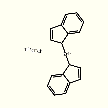 C1=C[CH]([Zr+2][CH]2C=Cc3ccccc32)c2ccccc21.[Cl-].[Cl-].[Ti+4]